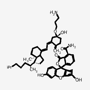 C=C1CC[C@@](O)(OCCCN)C/C1=C/C=C1CCC[C@@]2(C)C1CC[C@@H]2[C@H](C)CCCC(C)C.NC(=O)c1cccc2c1C(=O)OC21c2ccc(O)cc2Oc2cc(O)ccc21